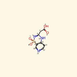 O=C(O)CC1=NS(=O)(=O)c2cnccc2N1